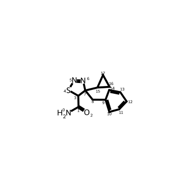 NC(=O)C1SN=NC1(Cc1ccccc1)C1CC1